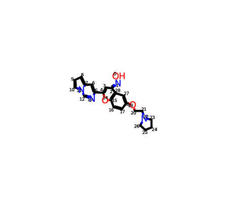 ON=c1cc(-c2cc3cccn3cn2)oc2ccc(OCCN3CCCC3)cc12